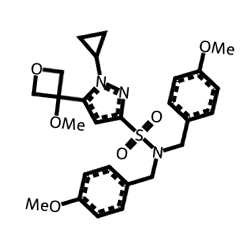 COc1ccc(CN(Cc2ccc(OC)cc2)S(=O)(=O)c2cc(C3(OC)COC3)n(C3CC3)n2)cc1